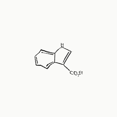 CCOC(=O)c1[c][nH]c2ccccc12